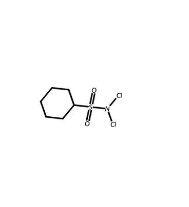 O=S(=O)(C1CCCCC1)N(Cl)Cl